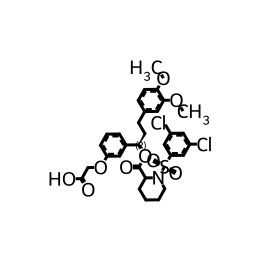 COc1ccc(CC[C@@H](OC(=O)C2CCCCN2S(=O)(=O)c2cc(Cl)cc(Cl)c2)c2cccc(OCC(=O)O)c2)cc1OC